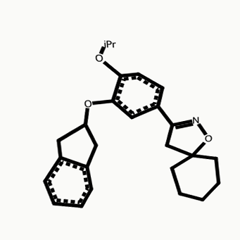 CC(C)Oc1ccc(C2=NOC3(CCCCC3)C2)cc1OC1Cc2ccccc2C1